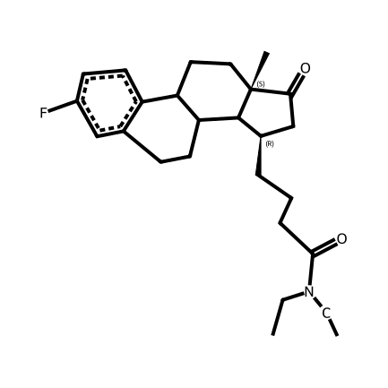 CCN(CC)C(=O)CCC[C@@H]1CC(=O)[C@@]2(C)CCC3c4ccc(F)cc4CCC3C12